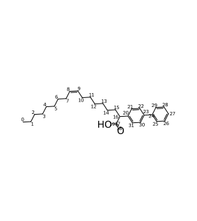 CCCCCCCC/C=C\CCCCCCC(C(=O)O)c1ccc(-c2ccccc2)cc1